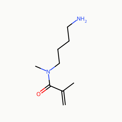 C=C(C)C(=O)N(C)CCCCN